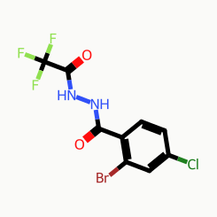 O=C(NNC(=O)C(F)(F)F)c1ccc(Cl)cc1Br